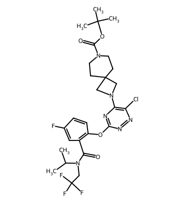 CC(C)N(CC(F)(F)F)C(=O)c1cc(F)ccc1Oc1nnc(Cl)c(N2CC3(CCN(C(=O)OC(C)(C)C)CC3)C2)n1